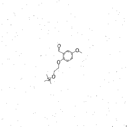 COc1ccc(OCCO[Si](C)(C)C)c(C=O)c1